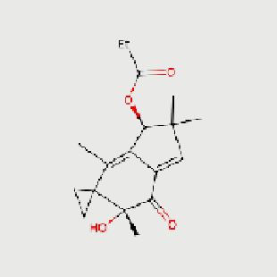 CCC(=O)O[C@@H]1C2=C(C)C3(CC3)[C@@](C)(O)C(=O)C2=CC1(C)C